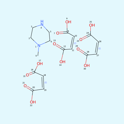 CN1CCNCC1.O=C(O)/C=C\C(=O)O.O=C(O)/C=C\C(=O)O.O=C(O)/C=C\C(=O)O